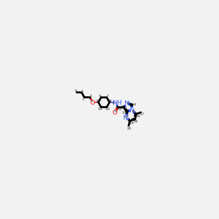 CCCCO[C@H]1CC[C@@H](NC(=O)c2ncn3c(C)cc(C)nc23)CC1